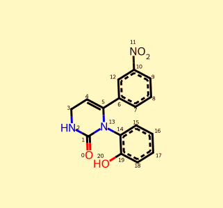 O=C1NCC=C(c2cccc([N+](=O)[O-])c2)N1c1ccccc1O